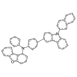 c1ccc(N(c2ccc(-c3ccc4c(c3)c3ccccc3n4-c3ccc4ccccc4c3)cc2)c2cccc3oc4ccccc4c23)cc1